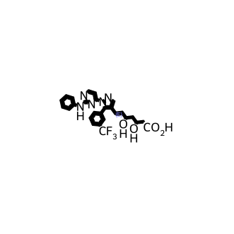 O=C(O)CC(O)CC(O)/C=C/c1cnn(-c2ccnc(Nc3ccccc3)n2)c1-c1cccc(C(F)(F)F)c1